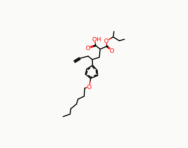 C#CCC(CC(C(=O)O)C(=O)OC(C)CC)c1ccc(OCCCCCCC)cc1